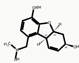 CCCN(C)Cc1ccc(OC)c2c1[C@@H]1C=C[C@H](O)C[C@@H]1O2